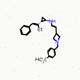 CC/C(=C\c1ccccc1)[C@@H]1C[C@H]1NCCC1CN(Cc2ccc(C(=O)O)cc2)C1